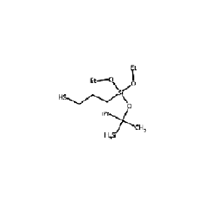 CCO[Si](CCCS)(OCC)OC(C)([SiH3])C(C)C